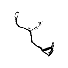 O[C@@H](CCl)CC1C=N1